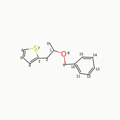 CC(Cc1cccs1)OCc1ccccc1